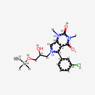 Cn1c(=O)c2c(-c3cccc(Cl)c3)n(CC(O)CO[Si](C)(C)C(C)(C)C)cc2n(C)c1=O